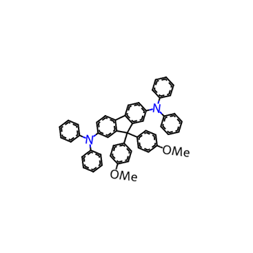 COc1ccc(C2(c3ccc(OC)cc3)c3cc(N(c4ccccc4)c4ccccc4)ccc3-c3ccc(N(c4ccccc4)c4ccccc4)cc32)cc1